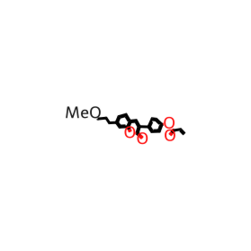 C=CC(=O)Oc1ccc(-c2cc3ccc(CCCOC)cc3oc2=O)cc1